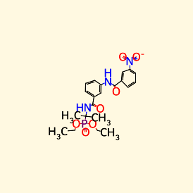 CCOP(=O)(OCC)C(C)(C)NC(=O)c1cccc(NC(=O)c2cccc([N+](=O)[O-])c2)c1